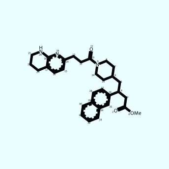 COC(=O)CC(CC1CCN(C(=O)CCc2ccc3c(n2)NCCC3)CC1)c1ccc2ccccc2c1